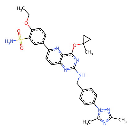 CCOc1ccc(-c2ccc3nc(NCc4ccc(-n5nc(C)nc5C)cc4)nc(OC4(C)CC4)c3n2)cc1S(N)(=O)=O